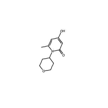 Cc1cc(O)cc(=O)n1C1CCOCC1